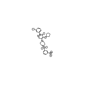 O=c1c(OC2CCCC2)c(N2CCN(S(=O)(=O)c3cccc([N+](=O)[O-])c3)CC2)cnn1-c1cccc(Cl)c1